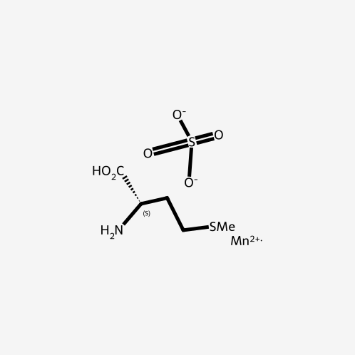 CSCC[C@H](N)C(=O)O.O=S(=O)([O-])[O-].[Mn+2]